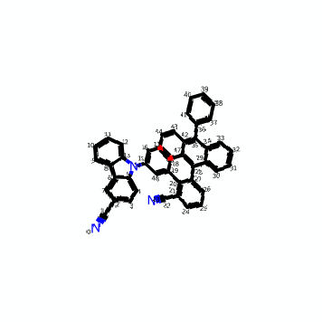 N#Cc1ccc2c(c1)c1ccccc1n2-c1cccc(-c2c(C#N)cccc2-c2c3ccccc3c(-c3ccccc3)c3ccccc23)c1